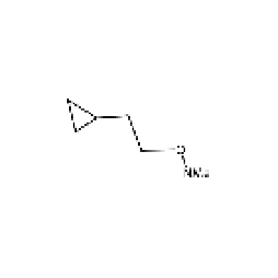 CNOCCC1CC1